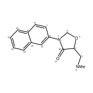 CNCC1OCN(c2ccc3ccccc3c2)C1=O